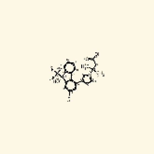 CC(C)(CC(=O)O)n1cc(-c2cc(F)cc3c2-c2ccccc2[C@]3(O)C(F)(F)F)cn1